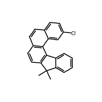 CC1(C)c2ccccc2-c2c1ccc1ccc3ccc(Cl)cc3c21